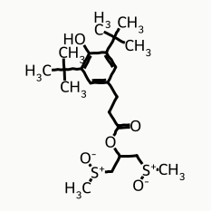 C[S+]([O-])CC(C[S+](C)[O-])OC(=O)CCc1cc(C(C)(C)C)c(O)c(C(C)(C)C)c1